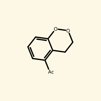 CC(=O)c1cccc2c1CCOO2